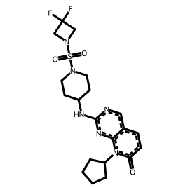 O=c1ccc2cnc(NC3CCN(S(=O)(=O)N4CC(F)(F)C4)CC3)nc2n1C1CCCC1